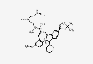 CNCCN(C)CCN(C)[C@H](O)C1=Cc2cc(OC)ccc2[C@H]2C(C3CCCCC3)c3ccc(C(=O)OC(C)(C)C)cc3N2C1